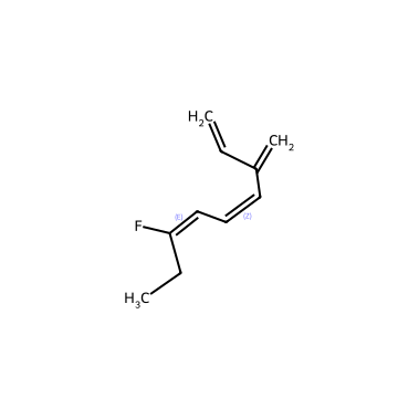 C=CC(=C)/C=C\C=C(\F)CC